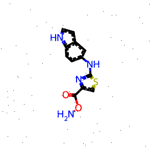 NOC(=O)c1csc(Nc2ccc3[nH]ccc3c2)n1